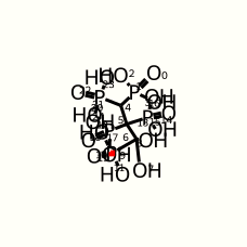 O=P(O)(O)C(C(C(O)(O)P(=O)(O)O)(P(=O)(O)O)P(=O)(O)O)P(=O)(O)O